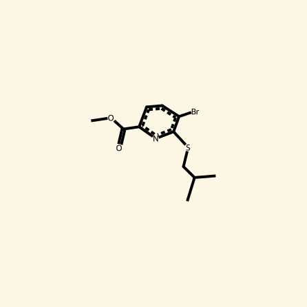 COC(=O)c1ccc(Br)c(SCC(C)C)n1